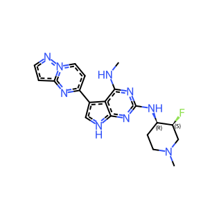 CNc1nc(N[C@@H]2CCN(C)C[C@@H]2F)nc2[nH]cc(-c3ccn4nccc4n3)c12